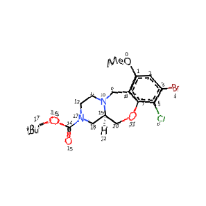 COc1cc(Br)c(Cl)c2c1CN1CCN(C(=O)OC(C)(C)C)C[C@@H]1CO2